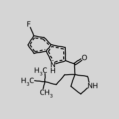 CC(C)(C)CCC1(C(=O)c2cc3cc(F)ccc3[nH]2)CCNC1